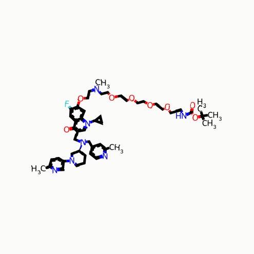 Cc1ccc(N2CCC[C@H](N(Cc3ccnc(C)c3)Cc3cn(C4CC4)c4cc(OCCN(C)CCOCCOCCOCCOCCNC(=O)OC(C)(C)C)c(F)cc4c3=O)C2)cn1